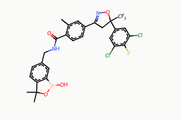 Cc1cc(C2=NOC(c3cc(Cl)c(F)c(Cl)c3)(C(F)(F)F)C2)ccc1C(=O)NCc1ccc2c(c1)B(O)OC2(C)C